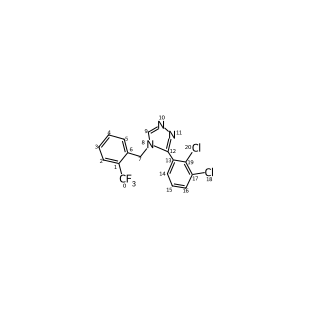 FC(F)(F)c1ccccc1Cn1cnnc1-c1cccc(Cl)c1Cl